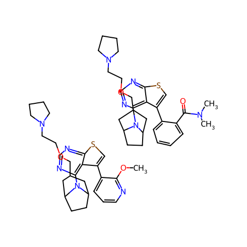 CN(C)C(=O)c1ccccc1-c1csc2ncnc(N3C4CCC3CC(COCCN3CCCC3)C4)c12.COc1ncccc1-c1csc2ncnc(N3C4CCC3CC(COCCN3CCCC3)C4)c12